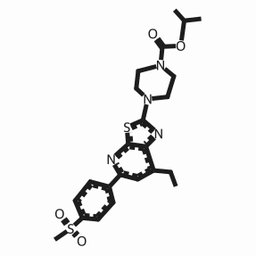 CCc1cc(-c2ccc(S(C)(=O)=O)cc2)nc2sc(N3CCN(C(=O)OC(C)C)CC3)nc12